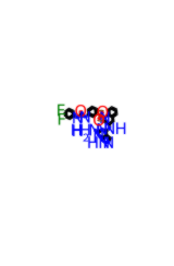 Nc1nc(NC2Cc3ccccc3N(S(=O)(=O)c3cccc(NC(=O)Nc4ccc(F)c(F)c4)c3)C2)c2cn[nH]c2n1